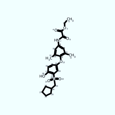 CCOC(=O)C(=O)Nc1cc(C)c(Oc2ccc(O)c(S(=O)(=O)CC3CCCC3)c2)c(C)c1